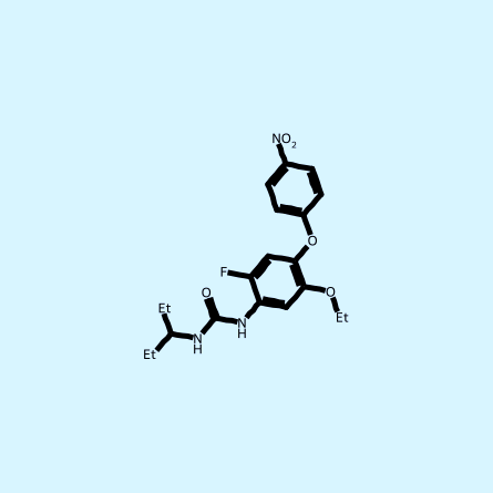 CCOc1cc(NC(=O)NC(CC)CC)c(F)cc1Oc1ccc([N+](=O)[O-])cc1